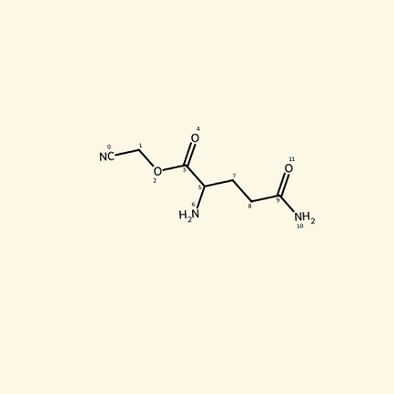 N#CCOC(=O)C(N)CCC(N)=O